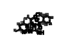 CC(=O)NN(C(=N)Nc1nc(C)cc(C)n1)S(=O)(=O)c1ccccc1Cl